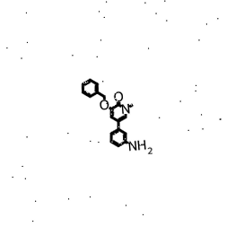 Cn1cc(-c2cccc(N)c2)cc(OCc2ccccc2)c1=O